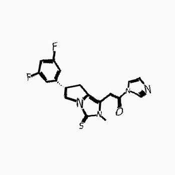 Cn1c(CC(=O)n2ccnc2)c2n(c1=S)C[C@H](c1cc(F)cc(F)c1)C2